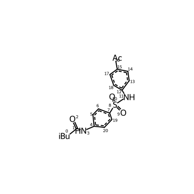 CCC(C)C(=O)Nc1ccc(S(=O)(=O)Nc2ccc(C(C)=O)cc2)cc1